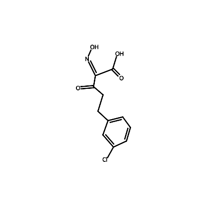 O=C(O)/C(=N\O)C(=O)CCc1cccc(Cl)c1